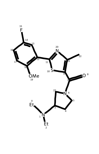 CCN(CC)C1CCN(C(=O)c2sc(-c3cc(F)ccc3OC)nc2C)C1